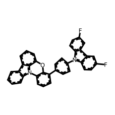 Fc1ccc2c(c1)c1cc(F)ccc1n2-c1ccc(-c2cccc3c2Oc2cccc4c5ccccc5n-3c24)cc1